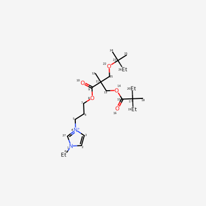 CCn1cc[n+](CCCOC(=O)C(C)(COC(=O)C(C)(CC)CC)COC(C)(C)CC)c1